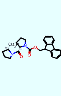 O=C(O)[C@H]1CCCN1C(=O)[C@@H]1CCCN1C(=O)OCC1c2ccccc2-c2ccccc21